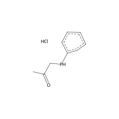 CC(=O)CPc1ccccc1.Cl